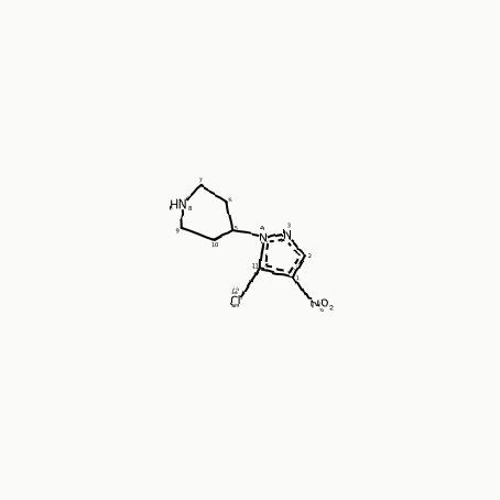 O=[N+]([O-])c1cnn(C2CCNCC2)c1Cl